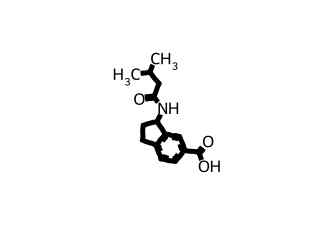 CC(C)CC(=O)NC1CCc2ccc(C(=O)O)cc21